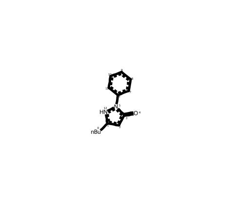 CCCCc1cc(=O)n(-c2ccccc2)[nH]1